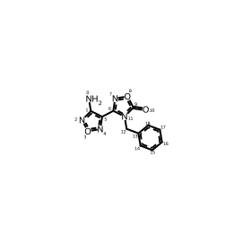 Nc1nonc1-c1noc(=O)n1Cc1ccccc1